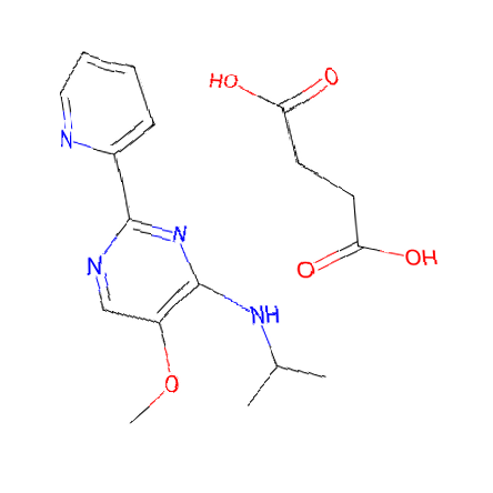 COc1cnc(-c2ccccn2)nc1NC(C)C.O=C(O)CCC(=O)O